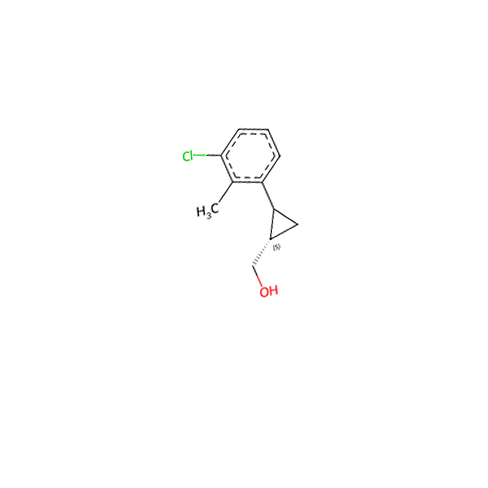 Cc1c(Cl)cccc1C1C[C@@H]1CO